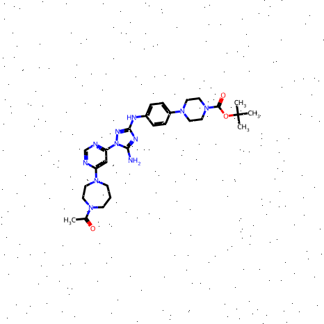 CC(=O)N1CCCN(c2cc(-n3nc(Nc4ccc(N5CCN(C(=O)OC(C)(C)C)CC5)cc4)nc3N)ncn2)CC1